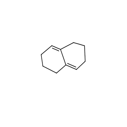 C1=C2CCCC=C2CCC1